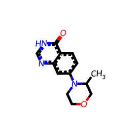 CC1COCCN1c1ccc2c(=O)[nH]cnc2c1